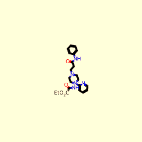 CCOC(=O)C(=O)N[N+]1(c2ccccn2)CCN(CCC(=O)Nc2ccccc2)CC1